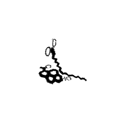 CC(=O)c1ccc2ccc3cccc4ccc1c2c34.CCCCCCC(O)C/C=C\CCCCCCCC(=O)OC